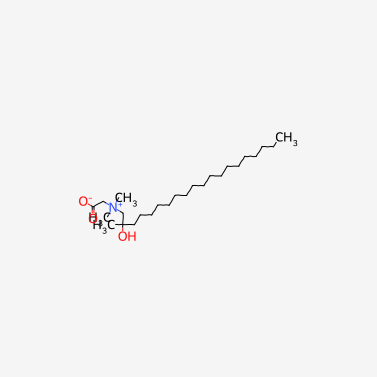 CCCCCCCCCCCCCCCCCCC(C)(O)C[N+](C)(C)CC(=O)[O-]